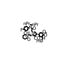 CCCC(CCC)N(C(=O)CN1C[C@H](c2cc(CO)c3c(c2)OCO3)[C@@H](C(=O)O)[C@@H]1CCN1CCCCC1=O)c1ccc(F)c(C)c1